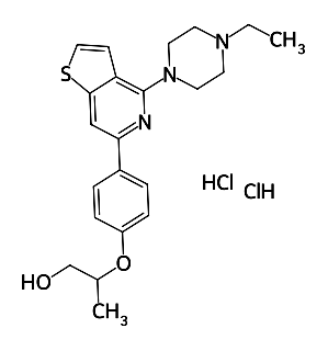 CCN1CCN(c2nc(-c3ccc(OC(C)CO)cc3)cc3sccc23)CC1.Cl.Cl